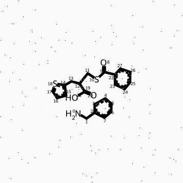 NCc1ccccc1.O=C(SCC(Cc1cccs1)C(=O)O)c1ccccc1